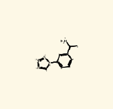 CC(N)c1cccc(-n2cnnn2)c1